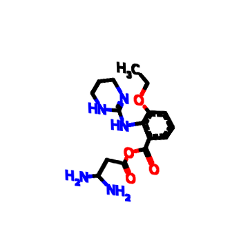 CCOc1cccc(C(=O)OC(=O)CC(N)N)c1NC1=NCCCN1